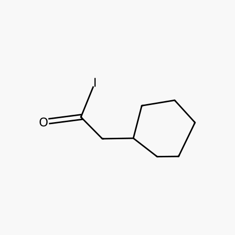 O=C(I)CC1CCCCC1